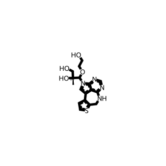 C[C@@](O)(CO)C(OCCO)n1cc2c3c(ncnc31)NCc1sccc1-2